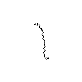 CCCC#CCCCCCCCCCCCCO